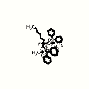 C=CCCCCC(F)(CO[Si](c1ccccc1)(c1ccccc1)C(C)(C)C)CO[Si](c1ccccc1)(c1ccccc1)C(C)(C)C